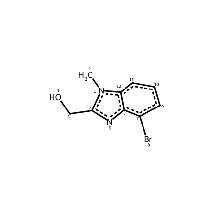 Cn1c(CO)nc2c(Br)cccc21